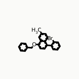 Cc1ccc2c(-c3ccccc3Br)ccc(OCc3ccccc3)c2c1